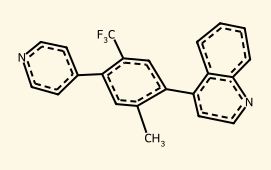 Cc1cc(-c2ccncc2)c(C(F)(F)F)cc1-c1ccnc2ccccc12